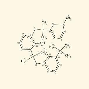 CC1C=CC=C(C(C)(C)Cc2cccc(C(C)(C)Cc3cccc(C(C)(C)C)c3F)c2O)C1